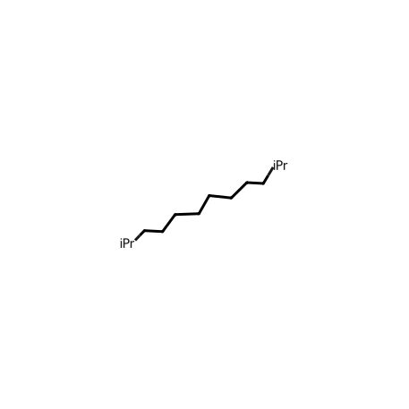 [CH2]C(C)CCCCCCCCC([CH2])C